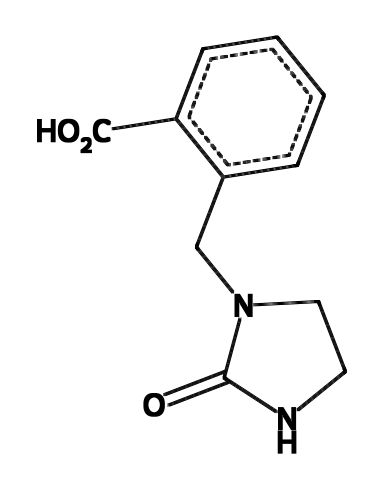 O=C(O)c1ccccc1CN1CCNC1=O